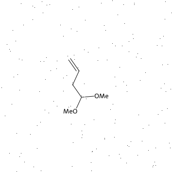 C=CC[C](OC)OC